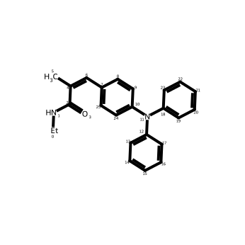 CCNC(=O)/C(C)=C\c1ccc(N(c2ccccc2)c2ccccc2)cc1